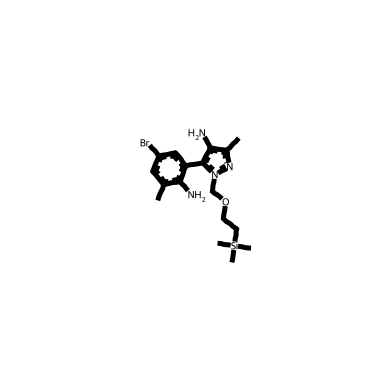 Cc1cc(Br)cc(-c2c(N)c(C)nn2COCC[Si](C)(C)C)c1N